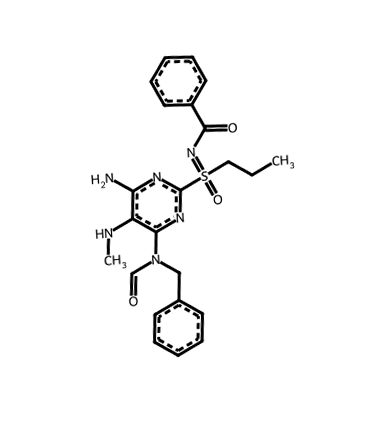 CCCS(=O)(=NC(=O)c1ccccc1)c1nc(N)c(NC)c(N(C=O)Cc2ccccc2)n1